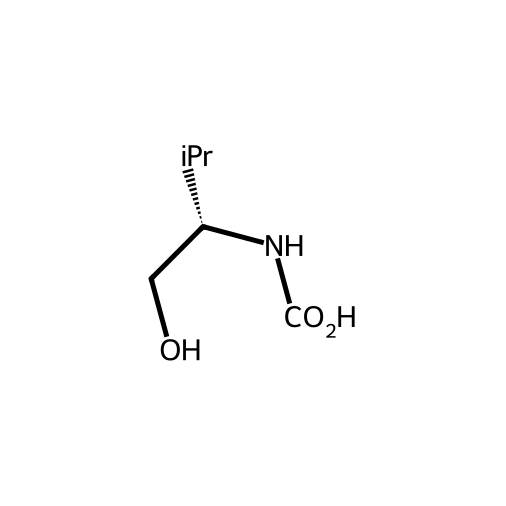 CC(C)[C@@H](CO)NC(=O)O